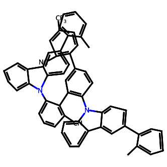 Cc1ccccc1-c1ccc2c(c1)c1ccccc1n2-c1ccc(-c2ccc(C(F)(F)F)cc2C#N)cc1-c1c(C#N)cccc1-n1c2ccccc2c2cc(-c3ccccc3C)ccc21